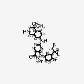 CC(C)n1c(=O)c2cnc(Nc3ccc4c(c3)CNCC4(C)C)nc2n1-c1ccc(F)c(C2(CF)CC2)n1